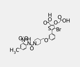 Cc1ccc(NC(=O)N2CCC(COc3cccc(-c4sc(C(=O)O)c(OCC(=O)O)c4Br)c3)CC2)c([N+](=O)[O-])c1